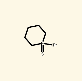 CC(C)P1(=S)CCCCC1